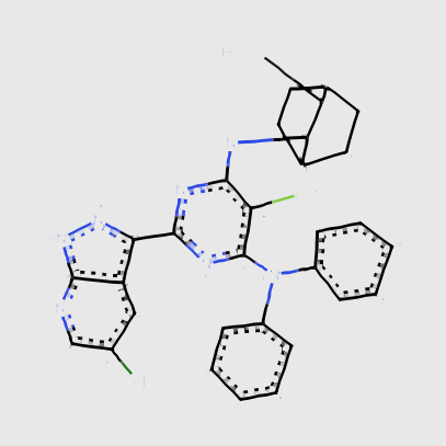 O=C(O)C1C2CCC(CC2)C1Nc1nc(-c2n[nH]c3ncc(Cl)cc23)nc(N(c2ccccc2)c2ccccc2)c1F